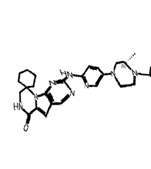 CC(C)N1CCN(c2ccc(Nc3ncc4cc5n(c4n3)C3(CCCCC3)CNC5=O)nc2)C[C@@H]1C